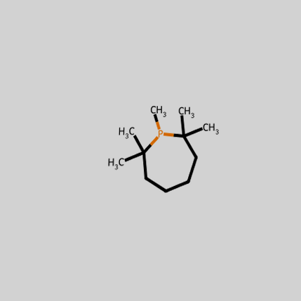 CP1C(C)(C)CCCCC1(C)C